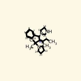 CC/C(C)=C(\C(c1ccccc1)N1CCNC1)C(C)(Cl)N1CCCC1